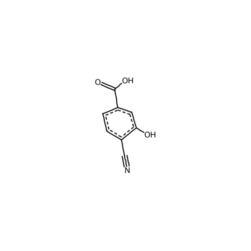 N#Cc1ccc(C(=O)O)cc1O